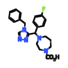 O=C(O)N1CCCN(C(c2ccc(F)cc2)c2nncn2Cc2ccccc2)CC1